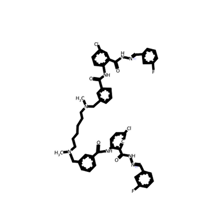 CN(CCCCCCN(C)Cc1cccc(C(=O)Nc2ccc(Cl)cc2C(=O)N/N=C/c2cccc(F)c2)c1)Cc1cccc(C(=O)Nc2ccc(Cl)cc2C(=O)N/N=C/c2cccc(F)c2)c1